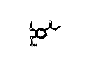 CCC(=O)c1ccc(OO)c(OC)c1